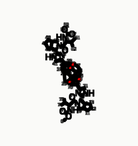 COC(=O)N[C@H](C(=O)N1CC2CCCC2[C@H]1c1nc(-c2ccc(-c3cc4ccc3CCc3ccc(c(-c5ccc(-c6c[nH]c([C@@H]7C8CCCC8CN7C(=O)[C@@H](NC(=O)OC)C(C)C)n6)cc5)c3)CC4)cc2)c[nH]1)C(C)C